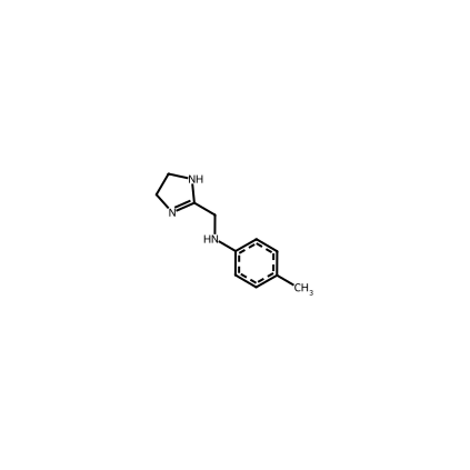 Cc1ccc(NCC2=NCCN2)cc1